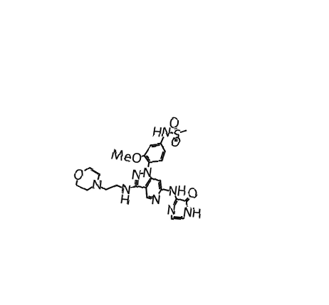 COc1cc(NS(C)(=O)=O)ccc1-n1nc(NCCN2CCOCC2)c2cnc(Nc3ncc[nH]c3=O)cc21